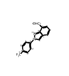 O=Cc1cccc2cn(-c3ccc(C(F)(F)F)cc3)nc12